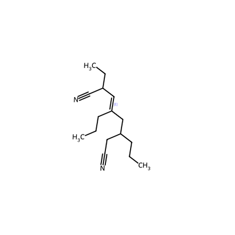 CCC/C(=C\C(C#N)CC)CC(CC#N)CCC